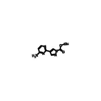 CC(C)(C)OC(=O)n1cc(-c2nccc(N)n2)cn1